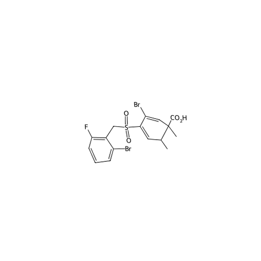 CC1C=C(S(=O)(=O)Cc2c(F)cccc2Br)C(Br)=CC1(C)C(=O)O